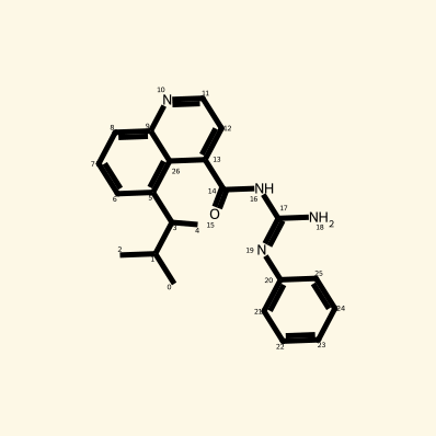 CC(C)C(C)c1cccc2nccc(C(=O)NC(N)=Nc3ccccc3)c12